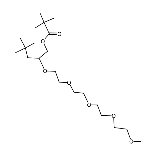 COCCOCCOCCOCCOC(COC(=O)C(C)(C)C)CC(C)(C)C